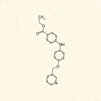 CCOC(=O)c1ccc(Nc2ccc(OCc3cccnc3)cc2)cc1